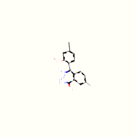 COc1cc(C)ccc1-c1n[nH]c(=O)c2cc(C)ccc12